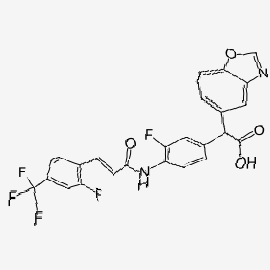 O=C(C=Cc1ccc(C(F)(F)F)cc1F)Nc1ccc(C(C(=O)O)c2ccc3ocnc3c2)cc1F